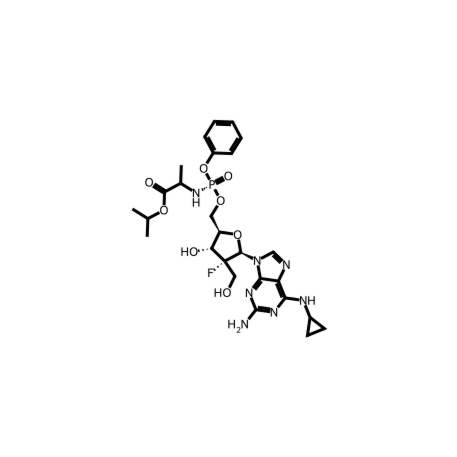 CC(C)OC(=O)C(C)N[P@](=O)(OC[C@H]1O[C@@H](n2cnc3c(NC4CC4)nc(N)nc32)[C@@](F)(CO)[C@@H]1O)Oc1ccccc1